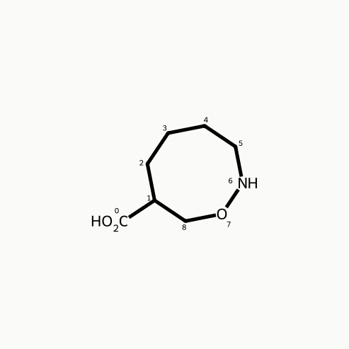 O=C(O)C1CCCCNOC1